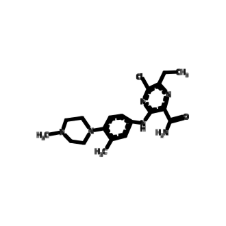 CCc1nc(C(N)=O)c(Nc2ccc(N3CCN(C)CC3)c(C)c2)nc1Cl